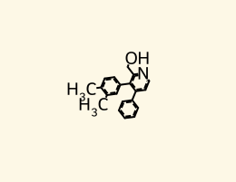 Cc1ccc(-c2c(-c3ccccc3)ccnc2CO)cc1C